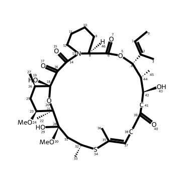 C/C=C(\C)[C@H]1OC(=O)[C@@H]2CCCCN2C(=O)C(=O)[C@]2(O)O[C@](C)([C@@H](OC)C[C@H]2C)[C@](O)(OC)C[C@@H](C)S/C(C)=C/CC(=O)C[C@H](O)[C@H]1C